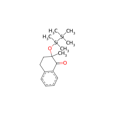 CC1(O[Si](C)(C)[Si](C)(C)C)CCc2ccccc2C1=O